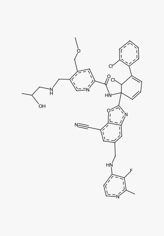 COCc1cc(C(=O)NC2(c3nc4cc(CNc5ccnc(C)c5F)cc(C#N)c4o3)C=CC=C(c3ccccc3Cl)C2Cl)ncc1CNCC(C)O